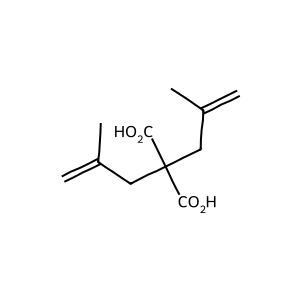 C=C(C)CC(CC(=C)C)(C(=O)O)C(=O)O